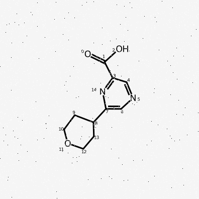 O=C(O)c1cncc(C2CCOCC2)n1